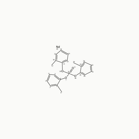 Cc1ccccc1OP(=O)(Oc1ccccc1C)Oc1ccccc1C.[Nd]